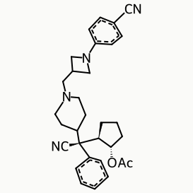 CC(=O)O[C@H]1CCC[C@@H]1[C@](C#N)(c1ccccc1)C1CCN(CC2CN(c3ccc(C#N)cc3)C2)CC1